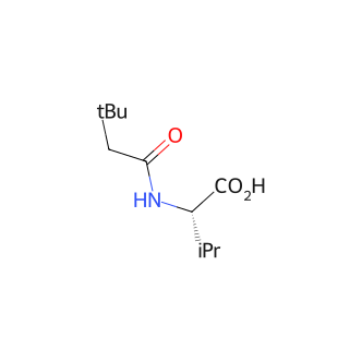 CC(C)[C@H](NC(=O)CC(C)(C)C)C(=O)O